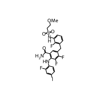 COCCS(=O)(=O)Nc1cccc(Cc2cc(C(N)=O)c(Nc3ccc(I)cc3F)c(F)c2F)c1F